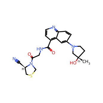 C[C@]1(O)CCN(c2ccc3nccc(C(=O)NCC(=O)N4CSC[C@H]4C#N)c3c2)C1